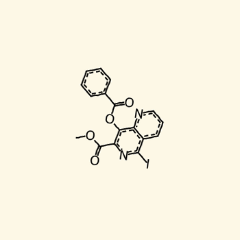 COC(=O)c1nc(I)c2cccnc2c1OC(=O)c1ccccc1